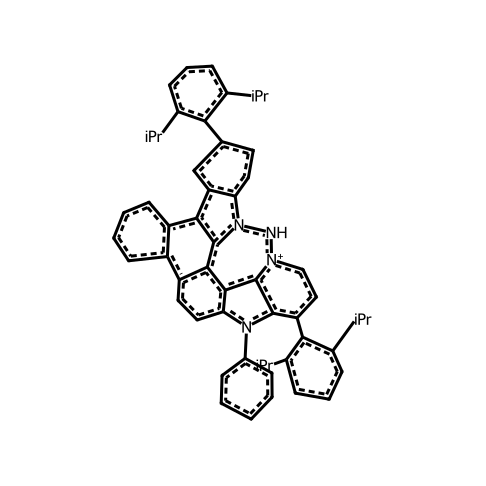 CC(C)c1cccc(C(C)C)c1-c1ccc2c(c1)c1c3ccccc3c3ccc4c5c3c1n2[nH][n+]1ccc(-c2c(C(C)C)cccc2C(C)C)c(c51)n4-c1ccccc1